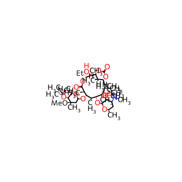 CC[C@H]1OC(=O)[C@H](C)[C@@H](OC2C[C@@](C)(OC)[C@@H](O[Si](C)(C)C)[C@H](C)O2)[C@H](C)[C@@H](OC2O[C@H](C)C[C@H](N(C)C)[C@H]2O[Si](C)(C)C)[C@@](C)(O)C[C@@H](C)[C@@H]2OC(=O)O[C@H]([C@H]2C)[C@]1(C)O